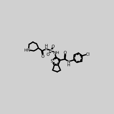 O=C(Nc1ccc(Cl)cc1)c1c(NS(=O)(=O)NC(=O)C2CCCNC2)sc2c1CCC2